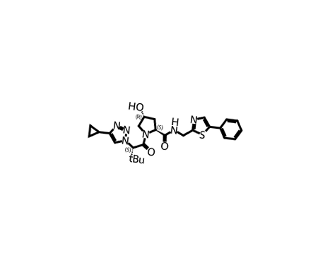 CC(C)(C)[C@@H](C(=O)N1C[C@H](O)C[C@H]1C(=O)NCc1ncc(-c2ccccc2)s1)n1cc(C2CC2)nn1